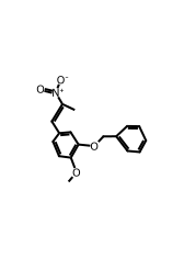 COc1ccc(/C=C(\C)[N+](=O)[O-])cc1OCc1ccccc1